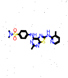 Cc1nc(Nc2ccc(S(=O)(=O)N(C)C)cc2)c2nc(Nc3ncccc3C)sc2n1